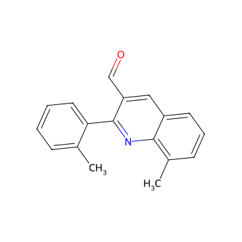 Cc1ccccc1-c1nc2c(C)cccc2cc1C=O